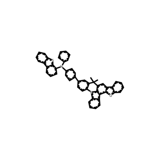 CC1(C)c2cc(-c3ccc(N(c4ccccc4)c4cccc5c4sc4ccccc45)cc3)ccc2-n2c3ccccc3c3c4oc5ccccc5c4cc1c32